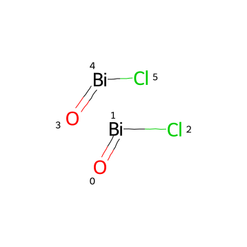 [O]=[Bi][Cl].[O]=[Bi][Cl]